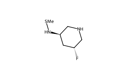 CSN[C@H]1CNC[C@H](F)C1